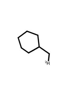 [2H]CC1CCCCC1